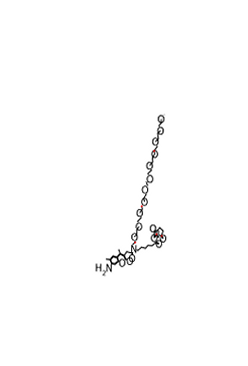 COCCOCCOCCOCCOCCOCCOCCOCCOCCOCCOCCN(CCCCCC(=O)ON1C(=O)CCC1=O)C(=O)Cc1c(C)c2cc(C)c(N)cc2oc1=O